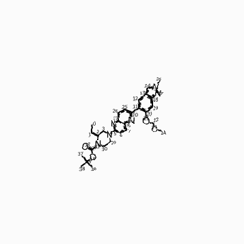 CCC1CN(c2ccc3nc(-c4cc5cn(C)nc5cc4OCOC)ccc3n2)CCN1C(=O)OC(C)(C)C